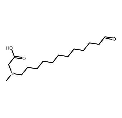 CN(CCCCCCCCCCCC=O)CC(=O)O